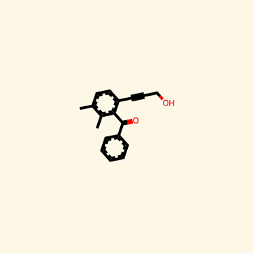 Cc1ccc(C#CCO)c(C(=O)c2ccccc2)c1C